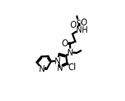 CCN(C(=O)CCNS(C)(=O)=O)c1cn(-c2cccnc2)nc1Cl